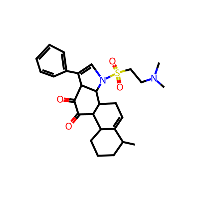 CC1CCCC2C1=CCC1C2C(=O)C(=O)C2C(c3ccccc3)=CN(S(=O)(=O)CCN(C)C)C21